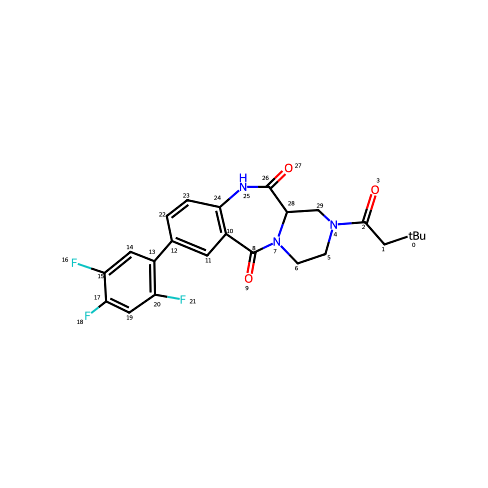 CC(C)(C)CC(=O)N1CCN2C(=O)c3cc(-c4cc(F)c(F)cc4F)ccc3NC(=O)C2C1